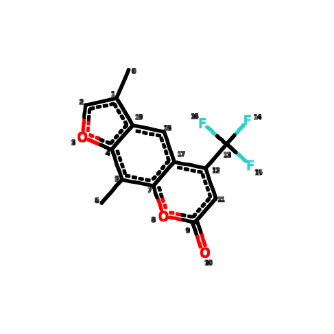 Cc1coc2c(C)c3oc(=O)cc(C(F)(F)F)c3cc12